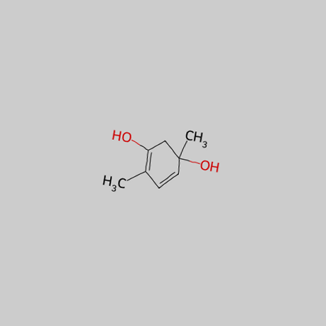 CC1=C(O)CC(C)(O)C=C1